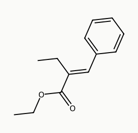 CCOC(=O)/C(=C/c1ccccc1)CC